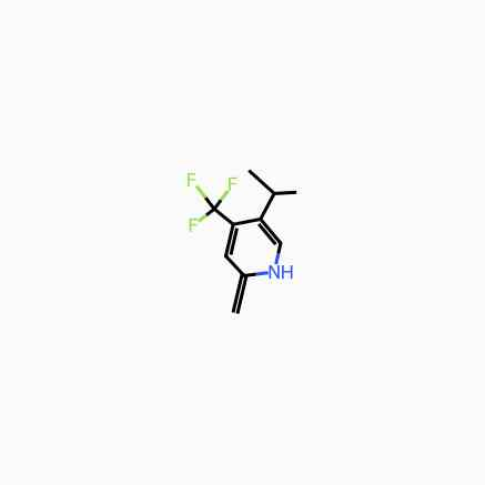 C=C1C=C(C(F)(F)F)C(C(C)C)=CN1